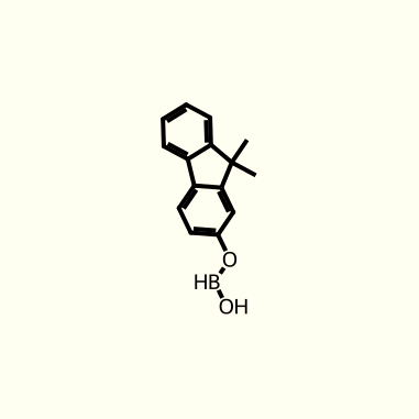 CC1(C)c2ccccc2-c2ccc(OBO)cc21